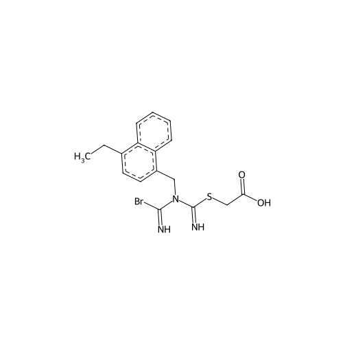 CCc1ccc(CN(C(=N)Br)C(=N)SCC(=O)O)c2ccccc12